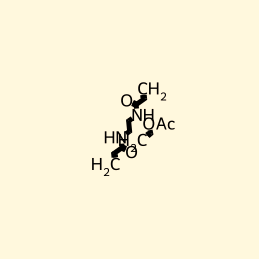 C=CC(=O)NCCNC(=O)C=C.C=COC(C)=O